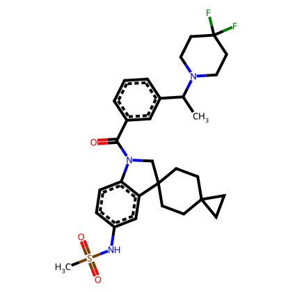 CC(c1cccc(C(=O)N2CC3(CCC4(CC4)CC3)c3cc(NS(C)(=O)=O)ccc32)c1)N1CCC(F)(F)CC1